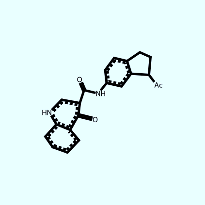 CC(=O)C1CCc2ccc(NC(=O)c3c[nH]c4ccccc4c3=O)cc21